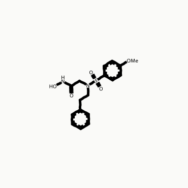 COc1ccc(S(=O)(=O)N(CCc2ccccc2)CC(=O)NO)cc1